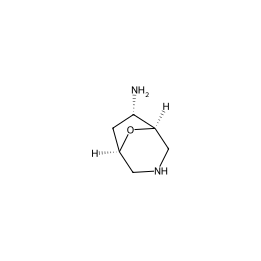 N[C@H]1C[C@@H]2CNC[C@H]1O2